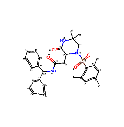 Cc1cc(C)c(S(=O)(=O)N2CC(C)(C)NC(=O)C2CC(=O)NC(c2ccccc2)c2ccccc2)c(C)c1